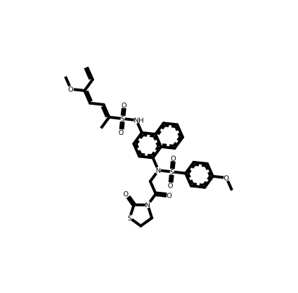 C=C/C(=C\C=C(/C)S(=O)(=O)Nc1ccc(N(CC(=O)N2CCSC2=O)S(=O)(=O)c2ccc(OC)cc2)c2ccccc12)OC